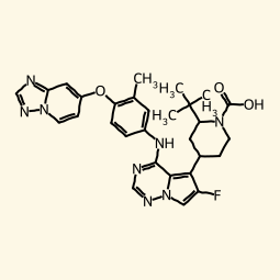 Cc1cc(Nc2ncnn3cc(F)c(C4CCN(C(=O)O)C(C(C)(C)C)C4)c23)ccc1Oc1ccn2ncnc2c1